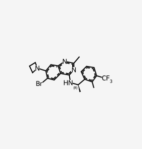 Cc1nc(N[C@H](C)c2cccc(C(F)(F)F)c2C)c2cc(Br)c(N3CCC3)cc2n1